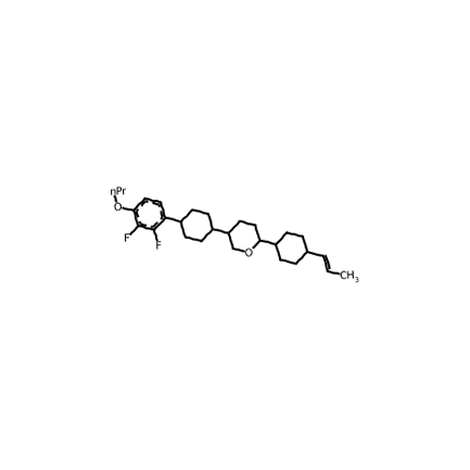 C/C=C/C1CCC(C2CCC(C3CCC(c4ccc(OCCC)c(F)c4F)CC3)CO2)CC1